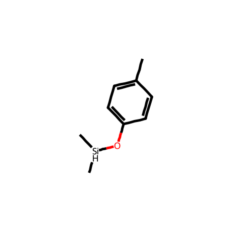 Cc1ccc(O[SiH](C)C)cc1